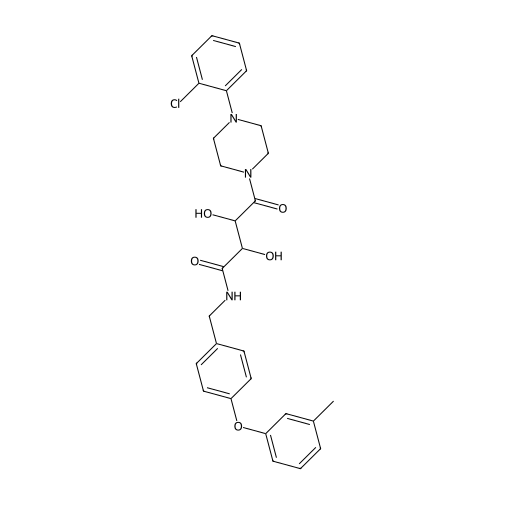 Cc1cccc(Oc2ccc(CNC(=O)C(O)C(O)C(=O)N3CCN(c4ccccc4Cl)CC3)cc2)c1